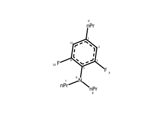 CCCc1cc(F)c(N(CCC)CCC)c(F)c1